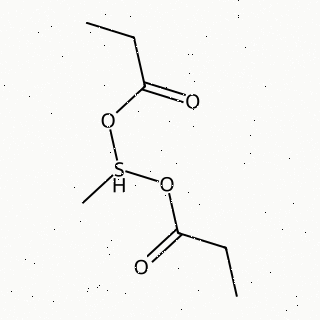 CCC(=O)O[SH](C)OC(=O)CC